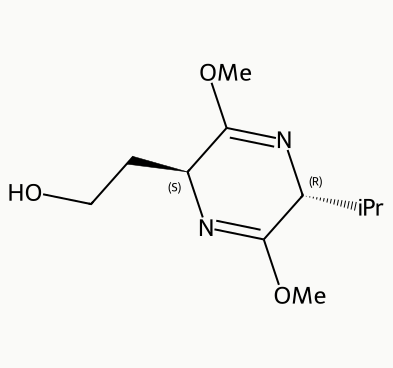 COC1=N[C@H](C(C)C)C(OC)=N[C@H]1CCO